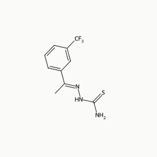 CC(=NNC(N)=S)c1cccc(C(F)(F)F)c1